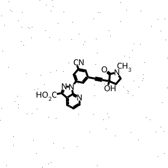 CN1CCC(O)(C#Cc2cc(C#N)cc(-n3nc(C(=O)O)c4cccnc43)c2)C1=O